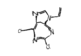 C=Cn1cnc2c(Cl)nc(Cl)nc21